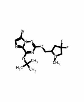 CN1CC(F)(F)CC1COc1nc(OC(C)(C)C)c2ncc(Br)n2n1